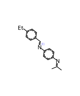 CCc1ccc(/C=N/c2ccc(N=C(C)C)cc2)cc1